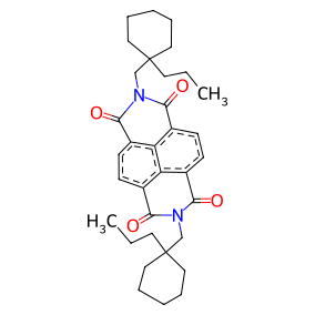 CCCC1(CN2C(=O)c3ccc4c5c(ccc(c35)C2=O)C(=O)N(CC2(CCC)CCCCC2)C4=O)CCCCC1